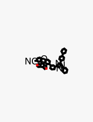 N#Cc1ccc2c(c1)C1(c3cc(-c4cccc(-c5nc(-c6ccccc6)nc(-c6ccc(-c7ccccc7)cc6)n5)c4)ccc3O2)c2ccccc2-c2ccccc21